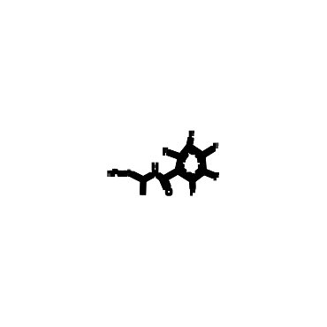 CCCCCC(C)NC(=O)c1c(F)c(F)c(F)c(F)c1F